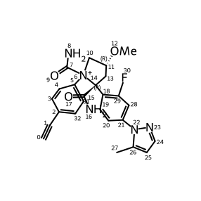 C#Cc1ccc([N+]2(C(N)=O)C[C@H](OC)C[C@]2(C(N)=O)c2ccc(-n3nccc3C)cc2F)cc1